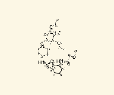 CCOc1cc(CN2CCC(Nc3nc4cccc(NC(=O)COC)c4o3)CC2)cc(OCC)c1F